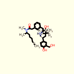 CCCCCCC(C)N(C)C(=O)Cc1cccc(C[C@@H](C)NC[C@H](CC(C)(C)[Si](C)(C)O)c2ccc(O)c(CO)c2)c1